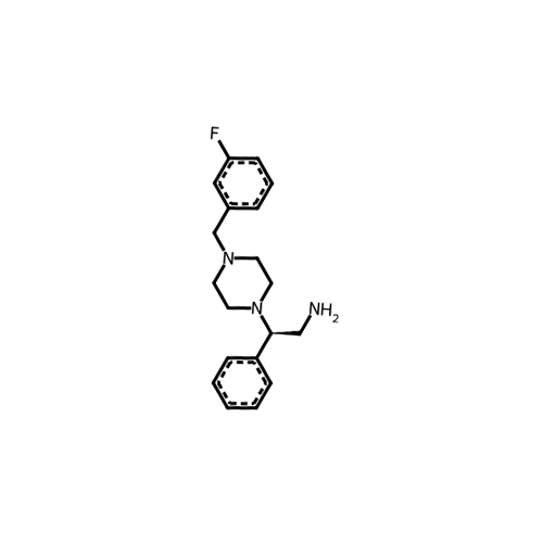 NC[C@@H](c1ccccc1)N1CCN(Cc2cccc(F)c2)CC1